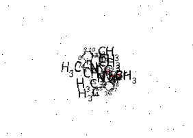 CC(=Nc1c(C(C)C)cccc1C(C)C)C([CH2][Ni]([Br])[Br])=Nc1c(C(C)C)cccc1C(C)C